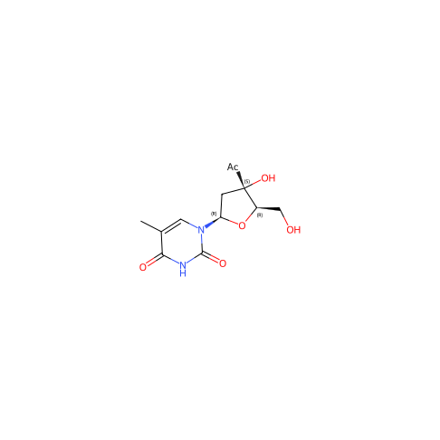 CC(=O)[C@]1(O)C[C@H](n2cc(C)c(=O)[nH]c2=O)O[C@@H]1CO